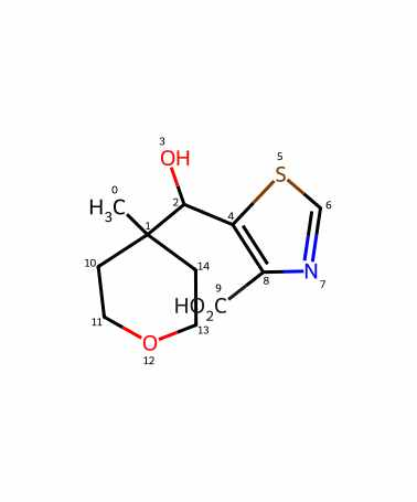 CC1(C(O)c2scnc2C(=O)O)CCOCC1